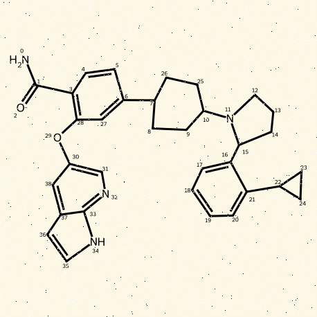 NC(=O)c1ccc(C2CCC(N3CCCC3c3ccccc3C3CC3)CC2)cc1Oc1cnc2[nH]ccc2c1